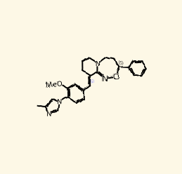 COc1cc(/C=C2\CCCN3CC[C@@H](c4ccccc4)ON=C23)ccc1-n1cnc(C)c1